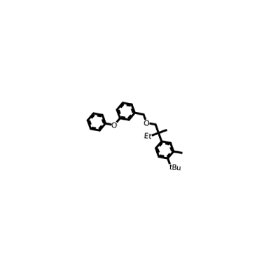 CCC(C)(COCc1cccc(Oc2ccccc2)c1)c1ccc(C(C)(C)C)c(C)c1